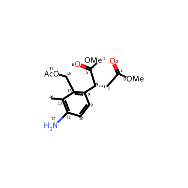 COC(=O)C[C@@H](C(=O)OC)c1ccc(N)c(C)c1COC(C)=O